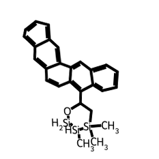 C[SiH]1[SiH2]OC(c2c3ccccc3cc3c2ccc2cc4ccccc4cc23)C[Si]1(C)C